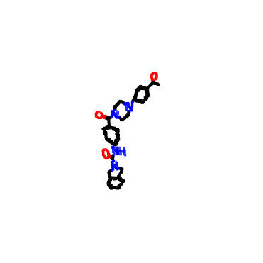 CC(=O)c1ccc(N2CCN(C(=O)c3ccc(NC(=O)N4Cc5ccccc5C4)cc3)CC2)cc1